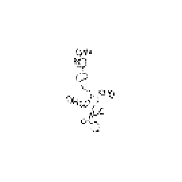 COc1ccc(-c2ccc(CCC(OC=O)C(C=O)CCN3C(=O)c4ccccc4C3=O)cc2)cn1